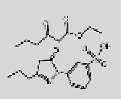 CCCC(=O)CC(=O)OCC.CCCC1=NN(c2cccc(S(=O)(=O)O)c2)C(=O)C1